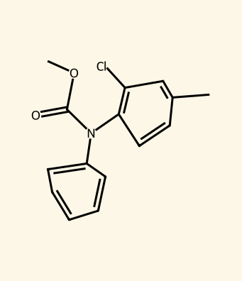 COC(=O)N(c1ccccc1)c1ccc(C)cc1Cl